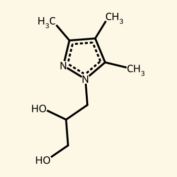 Cc1nn(CC(O)CO)c(C)c1C